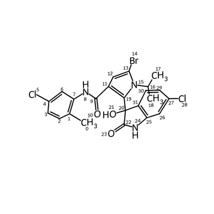 Cc1ccc(Cl)cc1NC(=O)c1cc(Br)n(C(C)C)c1C1(O)C(=O)Nc2cc(Cl)ccc21